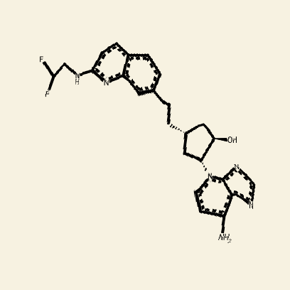 Nc1ccn([C@@H]2C[C@H](CCc3ccc4ccc(NCC(F)F)nc4c3)C[C@H]2O)c2ncnc1-2